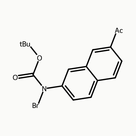 CC(=O)c1ccc2ccc(N(Br)C(=O)OC(C)(C)C)cc2c1